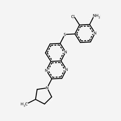 CC1CCN(c2cnc3nc(Sc4ccnc(N)c4Cl)ccc3n2)C1